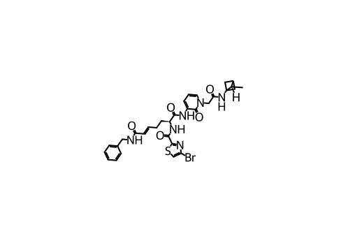 C[C@H]1C2CC1(NC(=O)Cn1cccc(NC(=O)[C@H](CC/C=C/C(=O)NCc3ccccc3)NC(=O)c3nc(Br)cs3)c1=O)C2